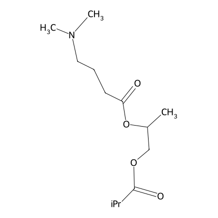 CC(COC(=O)C(C)C)OC(=O)CCCN(C)C